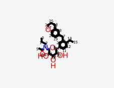 CCCN(C(C)=O)C1O[C@@H](c2ccc(CC)c(Cc3ccc4c(c3)CCCO4)c2)[C@H](O)[C@@H](O)[C@@H]1O